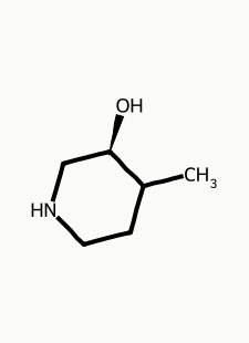 CC1CCNC[C@H]1O